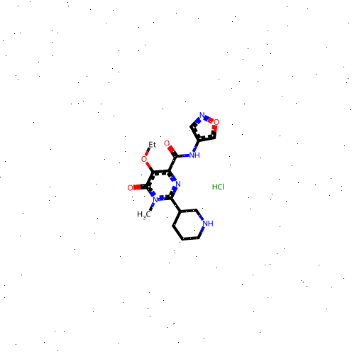 CCOc1c(C(=O)Nc2cnoc2)nc(C2CCCNC2)n(C)c1=O.Cl